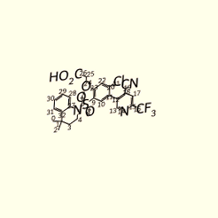 CC1(C)CCN(S(=O)(=O)c2cc(-c3cnc(C(F)(F)F)cc3C#N)c(Cl)cc2OCC(=O)O)c2ccccc21